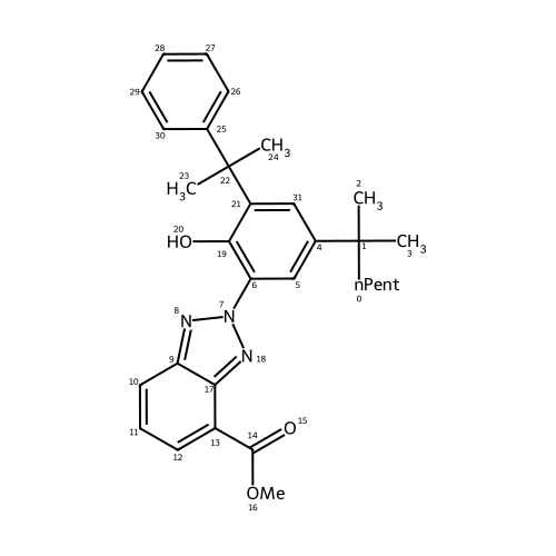 CCCCCC(C)(C)c1cc(-n2nc3cccc(C(=O)OC)c3n2)c(O)c(C(C)(C)c2ccccc2)c1